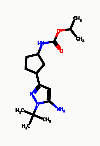 CC(C)OC(=O)NC1CCC(c2cc(N)n(C(C)(C)C)n2)C1